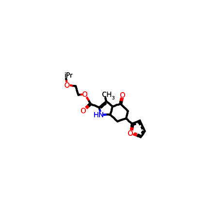 CC1=C(C(=O)OCCOC(C)C)NC2CC(c3ccco3)CC(=O)C12